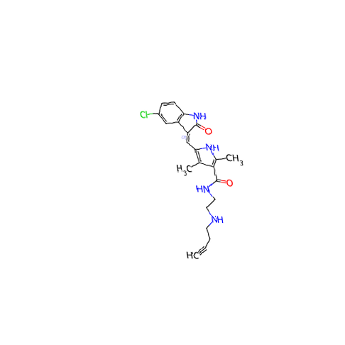 C#CCCNCCNC(=O)c1c(C)[nH]c(/C=C2\C(=O)Nc3ccc(Cl)cc32)c1C